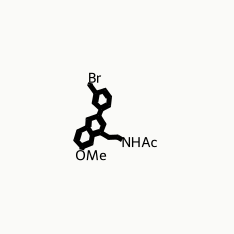 COc1ccc2cc(-c3cccc(CBr)c3)cc(CCNC(C)=O)c2c1